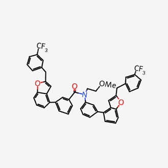 COCCN(C(=O)c1cccc(-c2cccc3oc(Cc4cccc(C(F)(F)F)c4)cc23)c1)c1cccc(-c2cccc3oc(Cc4cccc(C(F)(F)F)c4)cc23)c1